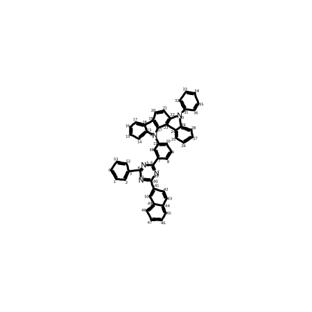 c1ccc(-c2nc(-c3cccc(-n4c5ccccc5c5ccc6c(c7ccccc7n6-c6ccccc6)c54)c3)nc(-c3ccc4ccccc4c3)n2)cc1